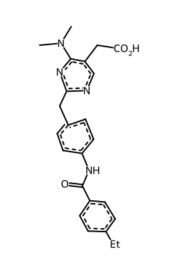 CCc1ccc(C(=O)Nc2ccc(Cc3ncc(CC(=O)O)c(N(C)C)n3)cc2)cc1